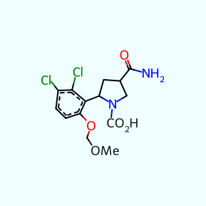 COCOc1ccc(Cl)c(Cl)c1C1CC(C(N)=O)CN1C(=O)O